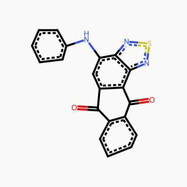 O=C1c2ccccc2C(=O)c2c1cc(Nc1ccccc1)c1nsnc21